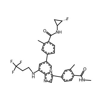 CNC(=O)c1ccc(-c2cnc3c(NCCC(F)(F)F)cc(-c4ccc(C(=O)NC5C[C@@H]5F)c(C)c4)cn23)cc1C